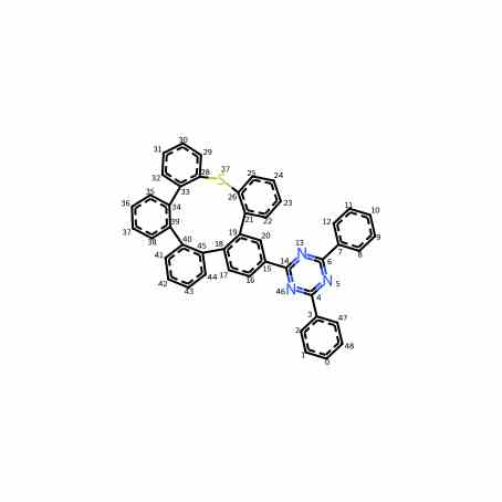 c1ccc(-c2nc(-c3ccccc3)nc(-c3ccc4c(c3)-c3ccccc3Sc3ccccc3-c3ccccc3-c3ccccc3-4)n2)cc1